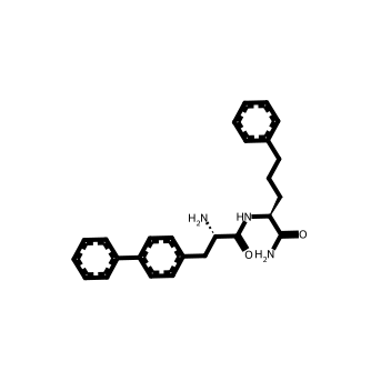 NC(=O)[C@H](CCCc1ccccc1)NC(=O)[C@@H](N)Cc1ccc(-c2ccccc2)cc1